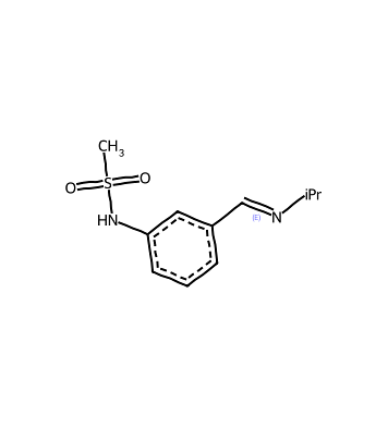 CC(C)/N=C/c1cccc(NS(C)(=O)=O)c1